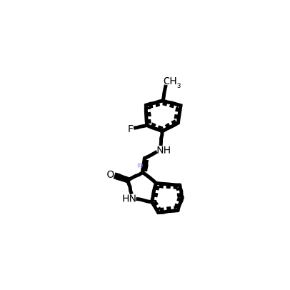 Cc1ccc(N/C=C2/C(=O)Nc3ccccc32)c(F)c1